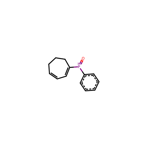 O=[PH](C1=CC=CCCC1)c1ccccc1